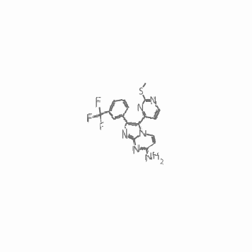 CSc1nccc(-c2c(-c3cccc(C(F)(F)F)c3)nc3nc(N)ccn23)n1